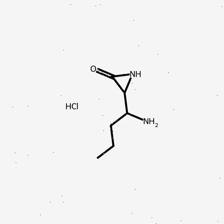 CCCC(N)C1NC1=O.Cl